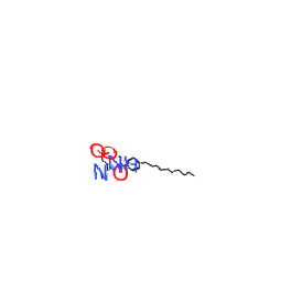 CCCCCCCCCCc1ccc(C(=O)NC(CC(=O)[O-])C[N+](C)(C)C)cc1